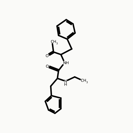 CCNC(Cc1ccccc1)C(=O)NC(Cc1ccccc1)C(C)=O